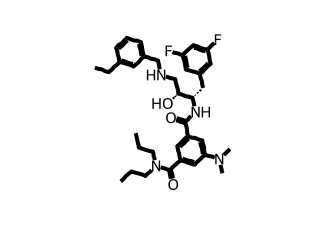 CCCN(CCC)C(=O)c1cc(C(=O)N[C@@H](Cc2cc(F)cc(F)c2)[C@H](O)CNCc2cccc(CC)c2)cc(N(C)C)c1